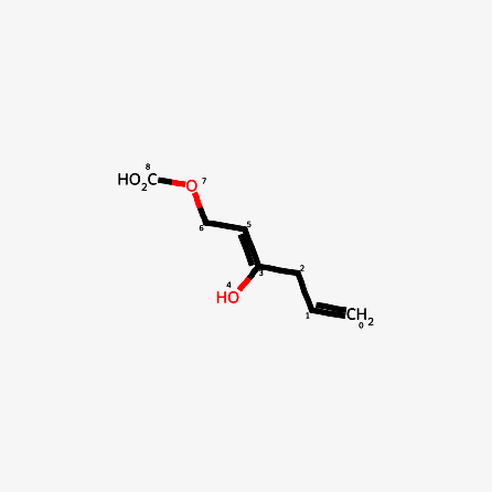 C=CCC(O)=CCOC(=O)O